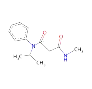 CNC(=O)CC(=O)N(c1ccccc1)C(C)C